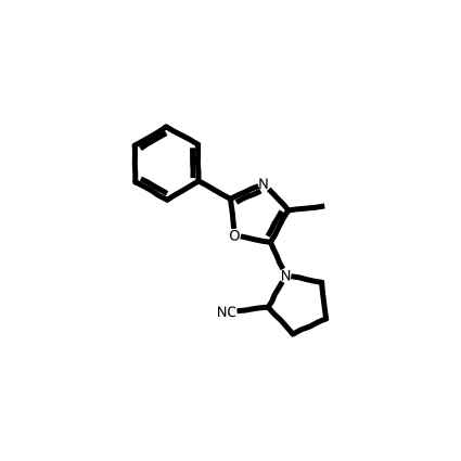 Cc1nc(-c2ccccc2)oc1N1CCCC1C#N